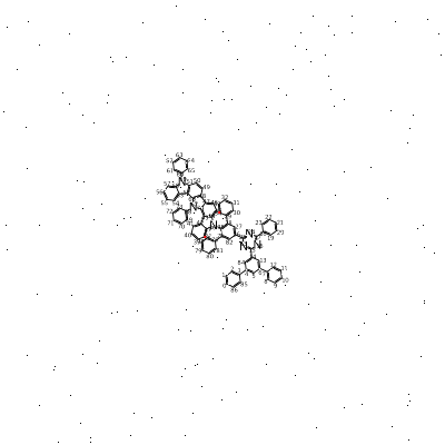 c1ccc(-c2cc(-c3ccccc3)cc(-c3nc(-c4ccccc4)nc(-c4cc(-c5ccccc5)c(-n5c6ccccc6c6c5ccc5c7ccc8c(c9ccccc9n8-c8ccccc8)c7n(-c7ccccc7)c56)c(-c5ccccc5)c4)n3)c2)cc1